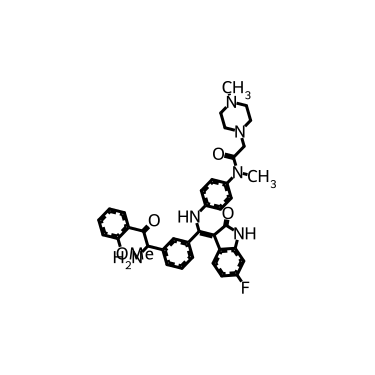 COc1ccccc1C(=O)C(N)c1cccc(C(Nc2ccc(N(C)C(=O)CN3CCN(C)CC3)cc2)=C2C(=O)Nc3cc(F)ccc32)c1